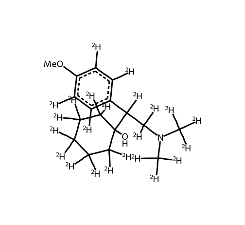 [2H]c1c([2H])c(C([2H])(C([2H])([2H])N(C([2H])([2H])[2H])C([2H])([2H])[2H])C2(O)C([2H])([2H])C([2H])([2H])C([2H])([2H])C([2H])([2H])C2([2H])[2H])c([2H])c([2H])c1OC